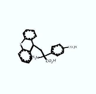 NC(CC1c2ccccc2Sc2ccccc21)(C(=O)O)c1ccc(C(=O)O)cc1